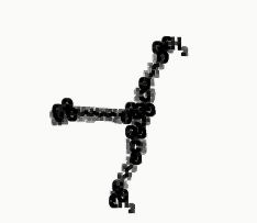 C=CC(=O)OCCCCCCOc1ccc(C(=O)Oc2ccc(OC(=O)c3ccc(OCCCCCCOC(=O)C=C)cc3)c(C(=O)OCCCCCCCCCCCOC(=O)c3ccco3)c2)cc1